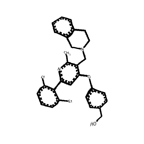 CCc1cccc(CC)c1-c1cc(Oc2ccc(CO)cc2)c(CN2CCc3ccccc3C2)c(C)n1